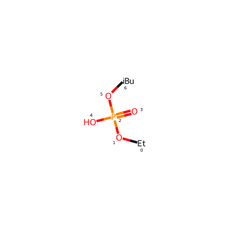 CCOP(=O)(O)OC(C)CC